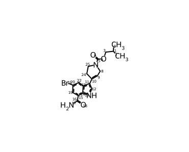 CC(C)COC(=O)N1CC=C(c2c[nH]c3c(C(N)=O)cc(Br)cc23)CC1